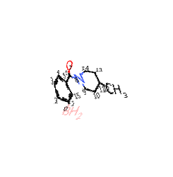 Bc1cccc(C(=O)N2CCC(C)CC2)c1